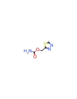 NC(=O)OCc1nn[c]s1